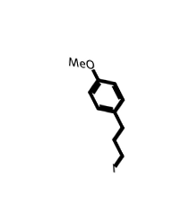 COc1ccc(CCCI)cc1